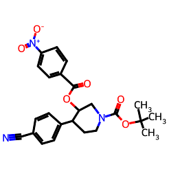 CC(C)(C)OC(=O)N1CCC(c2ccc(C#N)cc2)C(OC(=O)c2ccc([N+](=O)[O-])cc2)C1